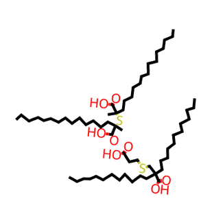 CCCCCCCCCCCCC(CCCCCCCCCCCC)(CSCCC(=O)O)C(=O)O.CCCCCCCCCCCCCCC(C)(SC(C)(CCCCCCCCCCCCCC)C(=O)O)C(=O)O